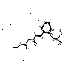 CCOC(=O)CC(=O)C=Cc1ccccc1C=S(=O)=O